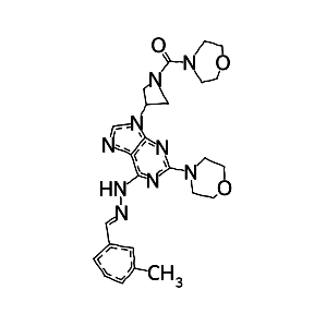 Cc1cccc(/C=N/Nc2nc(N3CCOCC3)nc3c2ncn3C2CN(C(=O)N3CCOCC3)C2)c1